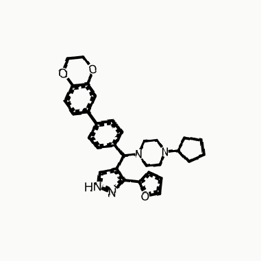 c1coc(-c2n[nH]cc2C(c2ccc(-c3ccc4c(c3)OCCO4)cc2)N2CCN(C3CCCC3)CC2)c1